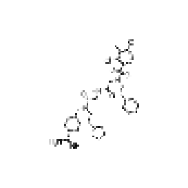 Cc1c(Cl)ccc(S(=O)(=O)N(CCc2ccccc2)CC(=O)NCC(=O)N(CCN2CCCC2)Cc2ccc(C(=N)N)cc2)c1Cl